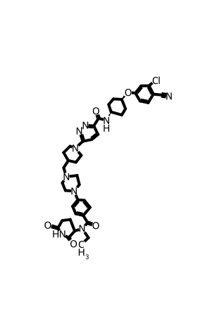 CCN(C(=O)c1ccc(N2CCN(CC3CCN(c4ccc(C(=O)N[C@H]5CC[C@H](Oc6ccc(C#N)c(Cl)c6)CC5)nn4)CC3)CC2)cc1)C1CCC(=O)NC1=O